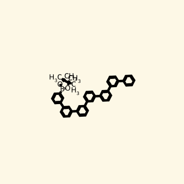 CC1(C)OB(c2cccc(-c3cccc(-c4cccc(-c5cccc(-c6cccc(-c7cccc(-c8ccccc8)c7)c6)c5)c4)c3)c2)OC1(C)C